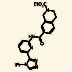 CCOC(=O)N1CCc2ccc(C(=O)Nc3cccc(-c4nncn4C(C)C)n3)cc2C1